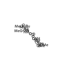 CC[C@H](C)[C@H](NC(=O)OC)C(=O)N1C[C@@H](COC)CC1c1ncc(-c2ccc3c(c2)COc2cc4c(ccc5nc(C6CC[C@H](C)N6C(=O)[C@@H](NC(=O)OC)[C@@H](C)OC)[nH]c54)cc2-3)[nH]1